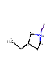 CCC1CCN(I)C1